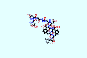 C=C(C)[C@H](NC(=O)[C@H](Cc1ccccc1)NC(=O)[C@H](Cc1ccccc1)NC(=O)[C@H](CC(=O)O)NC(=O)[C@H](CC(=O)O)NC(=O)[C@H](CC(=O)O)NC(=O)CNC(=O)CNC(=O)CNC(=O)[C@H](CC(=O)O)NC(=O)[C@H](CC(=O)O)NC)C(=O)O